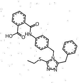 CCSc1nnc(Cc2ccccc2)n1Cc1ccc(NC(=O)c2ccccc2C(=O)O)cc1